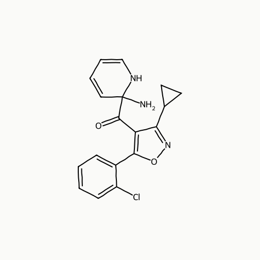 NC1(C(=O)c2c(C3CC3)noc2-c2ccccc2Cl)C=CC=CN1